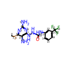 CSc1nc(N)nc(NNC(=O)Nc2cccc(C(F)(F)F)c2)c1N